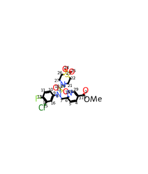 COC(=O)c1ccc(CN(c2ccc(F)c(Cl)c2)S(=O)(=O)N2CCS(=O)(=O)CC2)nc1